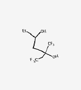 CCC(O)CC(O)(C(F)(F)F)C(F)(F)F